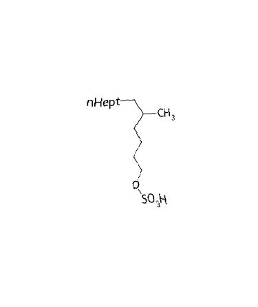 CCCCCCCCC(C)CCCCOS(=O)(=O)O